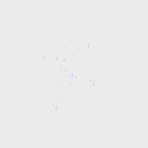 CC(C(N)=O)N(c1ccc(C#N)c(F)c1)c1nc(N)c(C(=O)c2ccccc2)s1